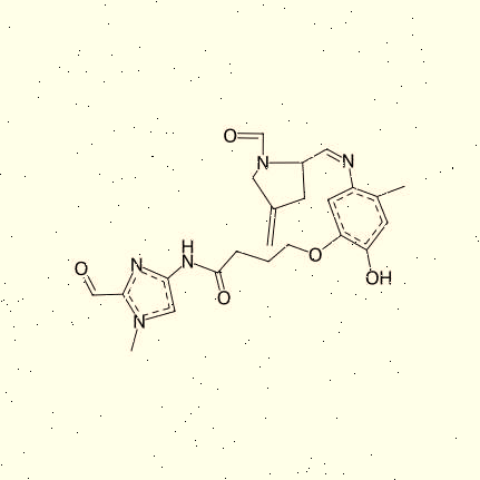 C=C1CC(/C=N\c2cc(OCCCC(=O)Nc3cn(C)c(C=O)n3)c(O)cc2C)N(C=O)C1